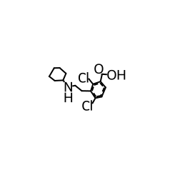 O=C(O)c1ccc(Cl)c(CCNC2CCCCC2)c1Cl